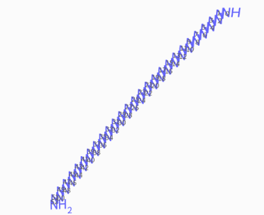 N=N/N=N/N=N/N=N/N=N/N=N/N=N/N=N/N=N/N=N/N=N/N=N/N=N/N=N/N=N/N=N/N=N/N=N/N=N/N=N/N=N/N=N/N=N/N=N/N=N/N=N/N